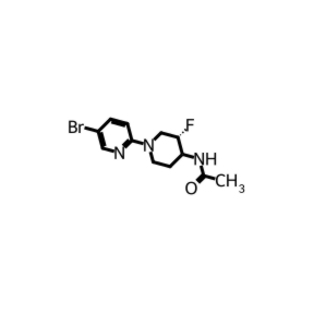 CC(=O)NC1CCN(c2ccc(Br)cn2)C[C@@H]1F